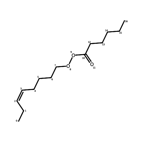 CC/C=C\CCCCOOC(=O)CCCCC